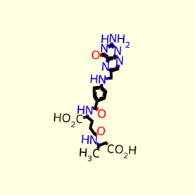 CC(CC(=O)O)NC(=O)CCC(NC(=O)c1ccc(NCc2cnc3nc(N)[nH]c(=O)c3n2)cc1)C(=O)O